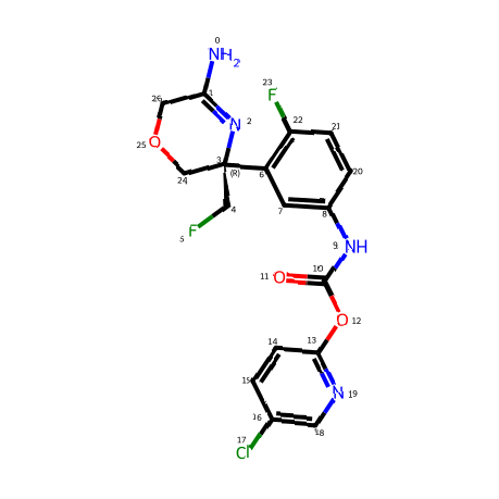 NC1=N[C@](CF)(c2cc(NC(=O)Oc3ccc(Cl)cn3)ccc2F)COC1